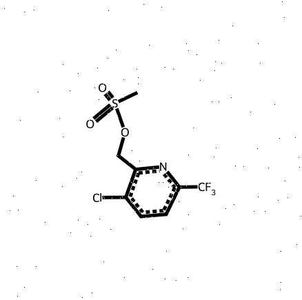 CS(=O)(=O)OCc1nc(C(F)(F)F)ccc1Cl